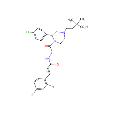 CC(C)(CCN1CCN(C(=O)CNC(=O)/C=C/c2ccc(C(F)(F)F)cc2F)C(c2ccc(Cl)cc2)C1)C(=O)O